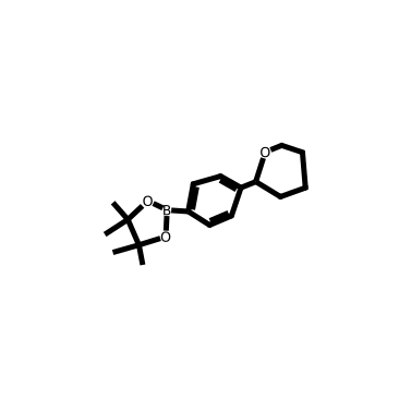 CC1(C)OB(c2ccc(C3CCCCO3)cc2)OC1(C)C